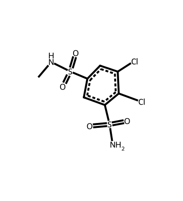 CNS(=O)(=O)c1cc(Cl)c(Cl)c(S(N)(=O)=O)c1